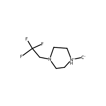 [CH2-][NH+]1CCN(CC(F)(F)F)CC1